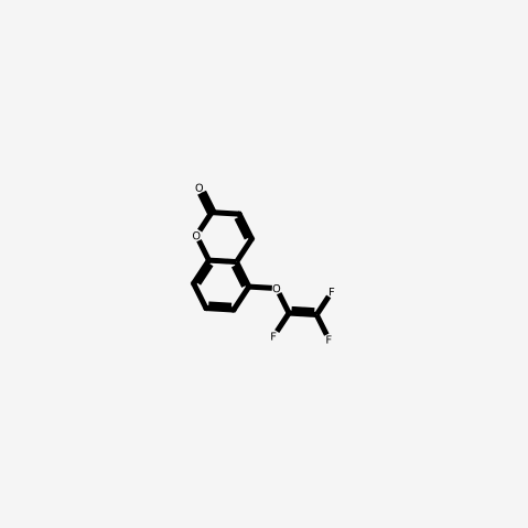 O=c1ccc2c(OC(F)=C(F)F)cccc2o1